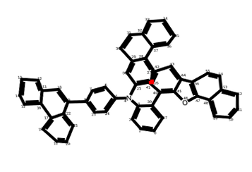 c1ccc(N(c2ccc(-c3cc4ccccc4c4ccccc34)cc2)c2ccc3c(ccc4ccccc43)c2)c(-c2cccc3c2oc2c4ccccc4ccc32)c1